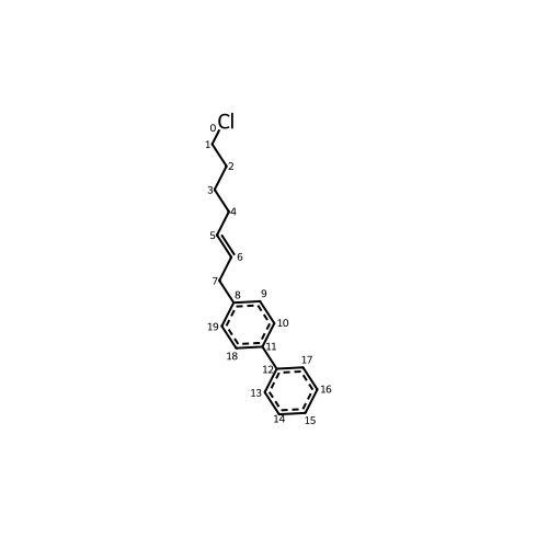 ClCCCCC=CCc1ccc(-c2ccccc2)cc1